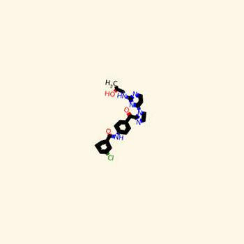 CC(O)CNc1nccc(-n2ccnc2C(=O)c2ccc(NC(=O)c3cccc(Cl)c3)cc2)n1